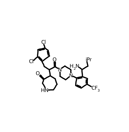 CC(C)CC(N)c1cc(C(F)(F)F)ccc1N1CCN(C(=O)C(Cc2ccc(Cl)cc2Cl)C2CCCNCC2=O)CC1